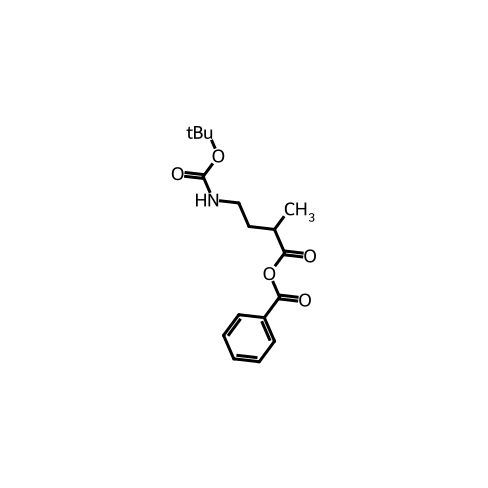 CC(CCNC(=O)OC(C)(C)C)C(=O)OC(=O)c1ccccc1